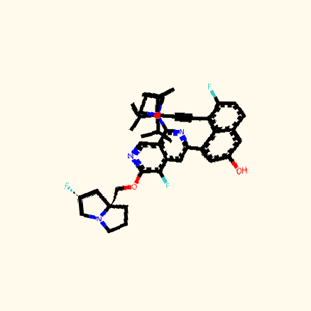 CC(C)[Si](C#Cc1c(F)ccc2cc(O)cc(-c3cc4c(F)c(OC[C@@]56CCCN5C[C@H](F)C6)ncc4c(N4CCC4)n3)c12)(C(C)C)C(C)C